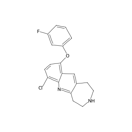 Fc1cccc(Oc2ccc(Cl)c3nc4c(cc23)CCNCC4)c1